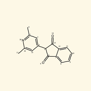 Cc1cc(C2C(=O)c3ccccc3C2=O)cc(C)n1